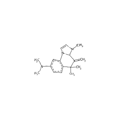 C=C1C2N(C)C=CN2c2cc(N(C)C)ccc2C1(C)C